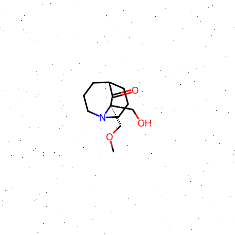 COC[C@@]1(CO)C(=O)C2CCCN1CCC2